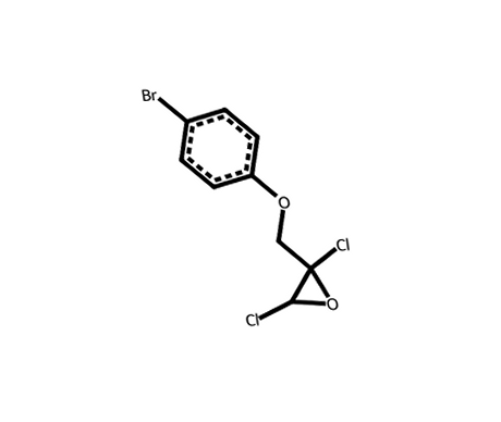 ClC1OC1(Cl)COc1ccc(Br)cc1